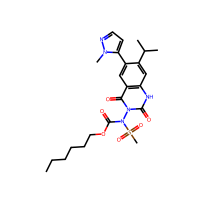 CCCCCCOC(=O)N(n1c(=O)[nH]c2cc(C(C)C)c(-c3ccnn3C)cc2c1=O)S(C)(=O)=O